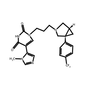 Cn1cncc1-c1cn(CCCN2C[C@@H]3C[C@]3(c3ccc(C(F)(F)F)cc3)C2)c(=O)[nH]c1=O